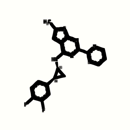 Cc1cc2c(N[C@@H]3C[C@H]3c3ccc(F)c(F)c3)nc(-c3ncccn3)nc2s1